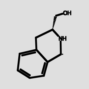 OC[C@H]1Cc2ccccc2[CH]N1